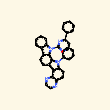 c1ccc(-c2ccnc(-n3c4ccccc4c4ccc5c6c7nccnc7ccc6n(-c6ccccc6)c5c43)n2)cc1